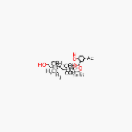 CCC1CC(C(C)(C)C(C)(C)CCC(C)(C)C(C)(C)CCO)OC(c2cc(C(C)=O)ccc2O)O1